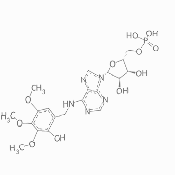 COc1cc(CNc2ncnc3c2ncn3[C@@H]2O[C@H](COP(=O)(O)O)[C@@H](O)[C@H]2O)c(O)c(OC)c1OC